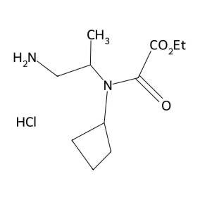 CCOC(=O)C(=O)N(C(C)CN)C1CCC1.Cl